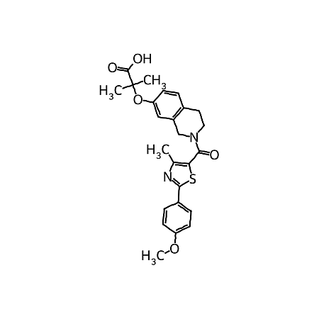 COc1ccc(-c2nc(C)c(C(=O)N3CCc4ccc(OC(C)(C)C(=O)O)cc4C3)s2)cc1